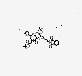 CC(C)(C)OC(=O)CN1CC(c2cccs2)SCC(N[C@@H](CCCCN2C(=O)c3ccccc3C2=O)C(=O)OC(C)(C)C)C1=O